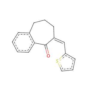 O=C1C(=Cc2cccs2)CCCc2ccccc21